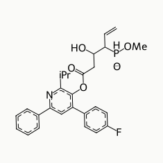 C=CC(C(O)CC(=O)Oc1c(-c2ccc(F)cc2)cc(-c2ccccc2)nc1C(C)C)[PH](=O)OC